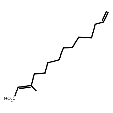 C=CCCCCCCCCC/C(C)=C/C(=O)O